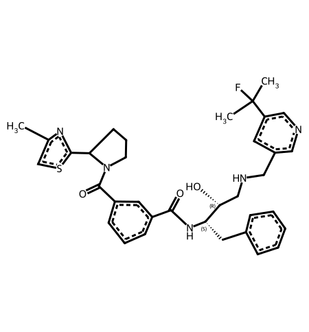 Cc1csc(C2CCCN2C(=O)c2cccc(C(=O)N[C@@H](Cc3ccccc3)[C@H](O)CNCc3cncc(C(C)(C)F)c3)c2)n1